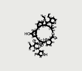 CCc1ccncc1-c1c2c3cc(ccc3n1CC)-c1cc(O)cc(c1)C[C@H](NC(=O)[C@H](C(C)C)N(C)C(=O)[C@@H]1CNC[C@@H]1F)C(=O)N1CCC[C@H](N1)C(=O)OCC(C)(C)C2